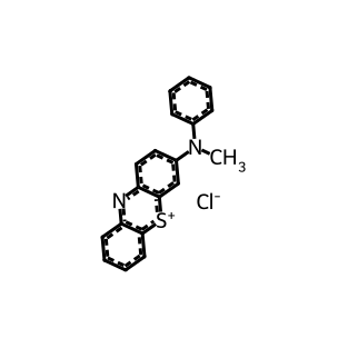 CN(c1ccccc1)c1ccc2nc3ccccc3[s+]c2c1.[Cl-]